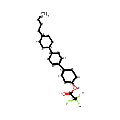 CCCCC1CCC(C2CC=C(C3CCC(OC(=O)C(F)(F)F)CC3)CC2)CC1